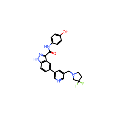 O=C(Nc1ccc(O)cc1)c1n[nH]c2ccc(-c3cncc(CN4CCC(F)(F)C4)c3)cc12